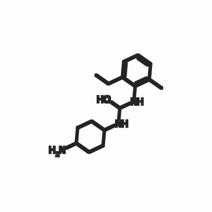 CCc1cccc(C)c1NC(O)NC1CCC(N)CC1